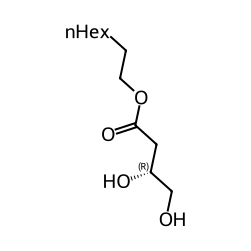 CCCCCCCCOC(=O)C[C@@H](O)CO